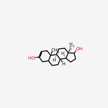 C[C@]12CC=C(O)CC1CC[C@@H]1[C@@H]2CC[C@]2(C)C(O)CC[C@@H]12